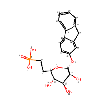 O=P(O)(O)CC[C@H]1O[C@H](Oc2ccc3c(c2)Cc2ccccc2-3)[C@@H](O)[C@@H](O)[C@@H]1O